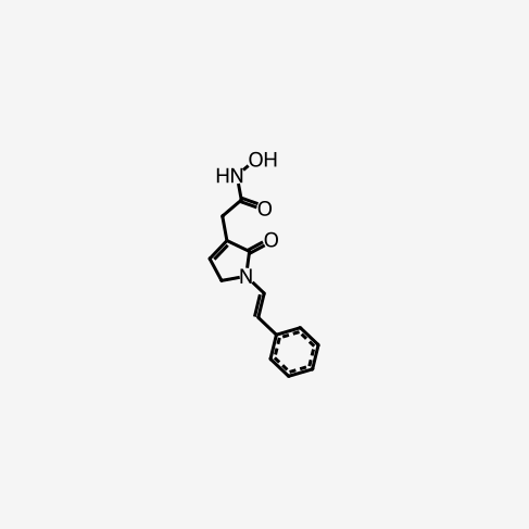 O=C(CC1=CCN(C=Cc2ccccc2)C1=O)NO